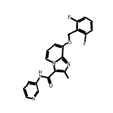 Cc1nc2c(OCc3c(F)cccc3F)cccn2c1C(=O)Nc1cccnc1